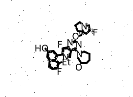 CCc1c(F)ccc2cc(O)cc(-c3ncc4c(N5CCCCC(=O)C5)nc(OC[C@@]56CCCN5C[C@H](F)C6)nc4c3F)c12